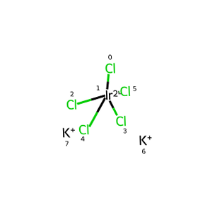 [Cl][Ir-2]([Cl])([Cl])([Cl])[Cl].[K+].[K+]